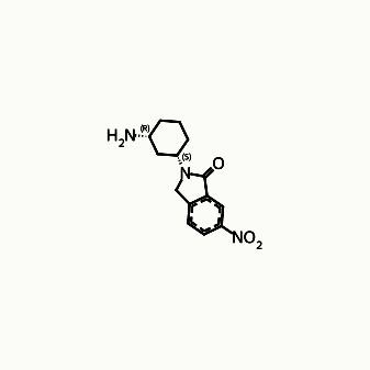 N[C@@H]1CCC[C@H](N2Cc3ccc([N+](=O)[O-])cc3C2=O)C1